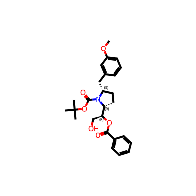 COc1cccc(C[C@@H]2CC[C@H]([C@H](CO)OC(=O)c3ccccc3)N2C(=O)OC(C)(C)C)c1